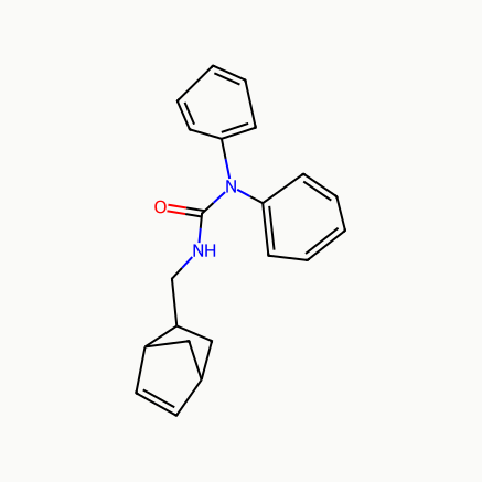 O=C(NCC1CC2C=CC1C2)N(c1ccccc1)c1ccccc1